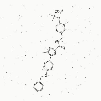 Cc1cc(CNC(=O)c2cc(-c3ccc(OCc4ccccc4)cc3)n(C)n2)ccc1OC(C)(C)C(=O)O